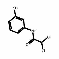 O=C(Nc1cccc(S)c1)C(Cl)Cl